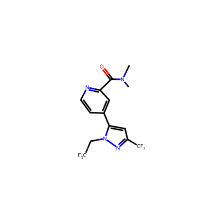 CN(C)C(=O)c1cc(-c2cc(C(F)(F)F)nn2CC(F)(F)F)ccn1